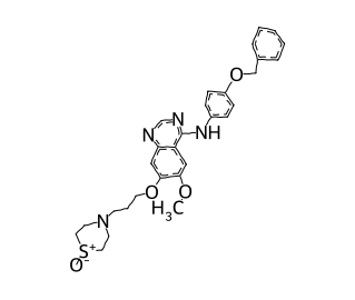 COc1cc2c(Nc3ccc(OCc4ccccc4)cc3)ncnc2cc1OCCCN1CC[S+]([O-])CC1